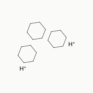 C1CCCCC1.C1CCCCC1.C1CCCCC1.[H+].[H+]